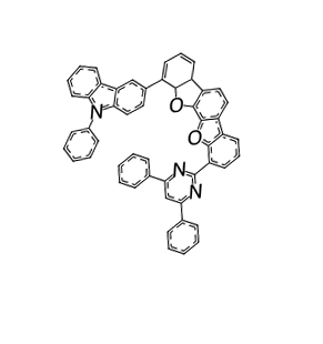 C1=CC2c3ccc4c(oc5c(-c6nc(-c7ccccc7)cc(-c7ccccc7)n6)cccc54)c3OC2C(c2ccc3c(c2)c2ccccc2n3-c2ccccc2)=C1